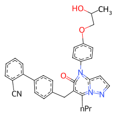 CCCc1c(Cc2ccc(-c3ccccc3C#N)cc2)c(=O)n(-c2ccc(OCC(C)O)cc2)c2ccnn12